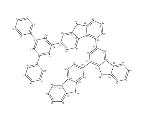 c1ccc(-c2nc(-c3ccccc3)nc(-c3ccc4c(c3)sc3cccc(-c5cc(-c6ccc7c(c6)sc6ccccc67)c6sc7ccccc7c6c5)c34)n2)cc1